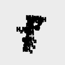 NCCC[C@H](N)CNC(=O)[C@@H](N)CCCNC(=O)CC(CCN)NC(=O)[C@@H]1Cc2cccc(c2)-c2ccc(O)c(c2)C[C@H](N)C(=O)N[C@@H](CCCN)C(=O)N1